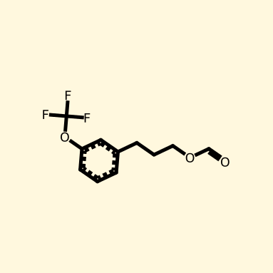 O=COCCCc1cccc(OC(F)(F)F)c1